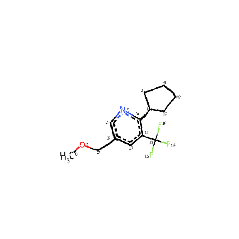 COCc1cnc(C2CCCC2)c(C(F)(F)F)c1